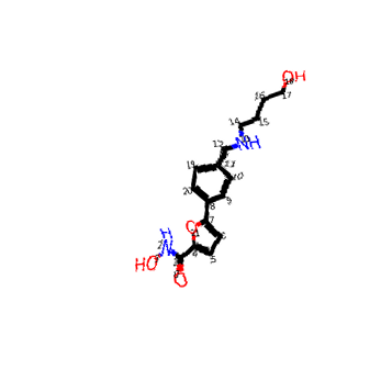 O=C(NO)c1ccc(-c2ccc(CNCCCCO)cc2)o1